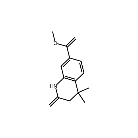 C=C1CC(C)(C)c2ccc(C(=C)OC)cc2N1